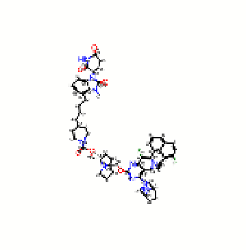 C#Cc1c(F)ccc2cccc(-c3ncc4c(N5CC6CCC(C5)N6)nc(OC[C@@]56CCCN5[C@H](COC(=O)N5CCC(CCCCc7cccc8c7n(C)c(=O)n8C7CCC(=O)NC7=O)CC5)CC6)nc4c3F)c12